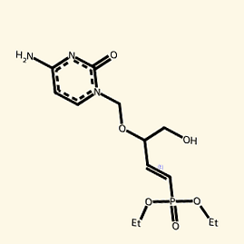 CCOP(=O)(/C=C/C(CO)OCn1ccc(N)nc1=O)OCC